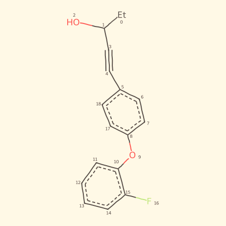 CCC(O)C#Cc1ccc(Oc2ccccc2F)cc1